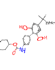 CCCCCCC(C)(C)c1cc(O)c(-c2ccc(NC(=O)OC3CCCCC3)cc2)c(O)c1